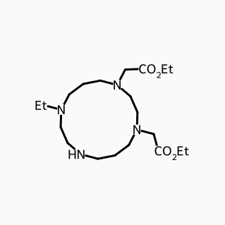 CCOC(=O)CN1CCCNCCN(CC)CCCN(CC(=O)OCC)CC1